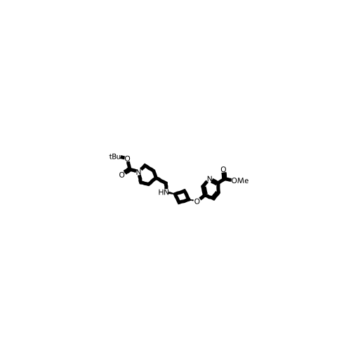 COC(=O)c1ccc(O[C@H]2C[C@H](NCC3CCN(C(=O)OC(C)(C)C)CC3)C2)cn1